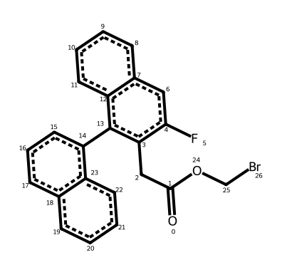 O=C(Cc1c(F)cc2ccccc2c1-c1cccc2ccccc12)OCBr